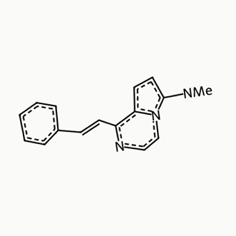 CNc1ccc2c(C=Cc3ccccc3)nccn12